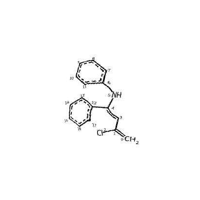 C=C(Cl)C=C(Nc1ccccc1)c1ccccc1